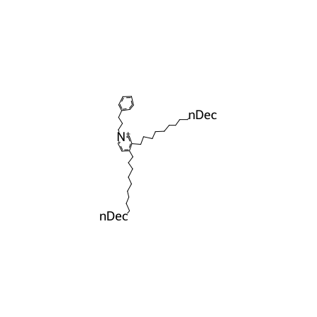 CCCCCCCCCCCCCCCCCCCc1cc[n+](CCCc2ccccc2)cc1CCCCCCCCCCCCCCCCCCC